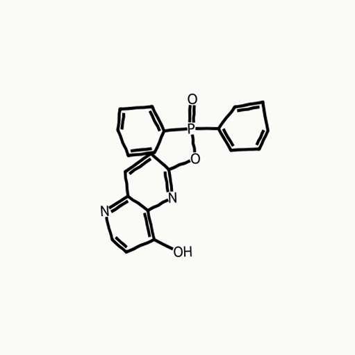 O=P(Oc1ccc2nccc(O)c2n1)(c1ccccc1)c1ccccc1